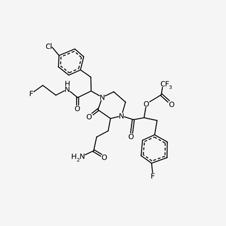 NC(=O)CCC1C(=O)N(C(Cc2ccc(Cl)cc2)C(=O)NCCF)CCN1C(=O)C(Cc1ccc(F)cc1)OC(=O)C(F)(F)F